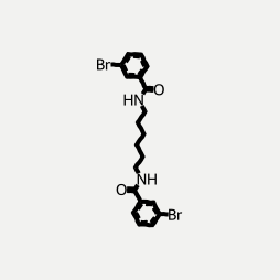 O=C(NCCCCCCNC(=O)c1cccc(Br)c1)c1cccc(Br)c1